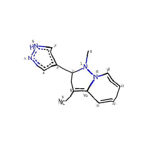 CN1C(c2cn[nH]c2)C(C#N)=C2C=CC=CN21